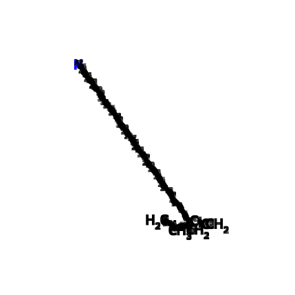 C=C=CC=C=C(C#CC#CC#CC#CC#CC#CC#CC#CC#CC#CC#CC#CC#CC#CC#CC#CC#CC#CC#CC#CC#N)C(=C)C#C/C(C)=C/C=C